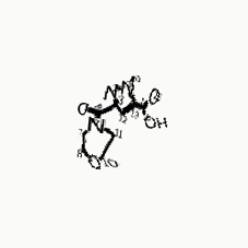 Cn1nc(C(=O)N2CCOCC2)cc1C(=O)O